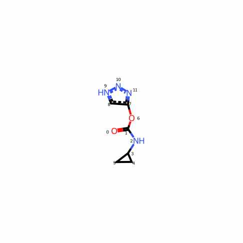 O=C(NC1CC1)Oc1c[nH]nn1